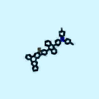 Cc1ccc(N(c2ccc(C)cc2)c2ccc(-c3c4ccccc4c(-c4ccc5c(c4)sc4cc6c7ccccc7c7cc8ccccc8cc7c6cc45)c4ccccc34)cc2)cc1